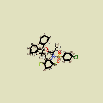 CC(CO[Si](c1ccccc1)(c1ccccc1)C(C)(C)C)N(c1cc(F)ccc1F)S(=O)(=O)c1ccc(Cl)cc1